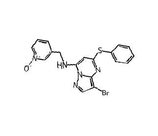 [O-][n+]1cccc(CNc2cc(Sc3ccccc3)nc3c(Br)cnn23)c1